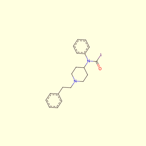 O=C(I)N(c1ccccc1)C1CCN(CCc2ccccc2)CC1